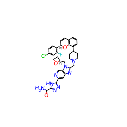 NC(=O)c1nnc(-c2cc3nc(CN4CCC(c5cccc6c5O[C@@H](c5ccc(Cl)cc5F)C=C6)CC4)n(C[C@@H]4CCO4)c3cn2)[nH]1